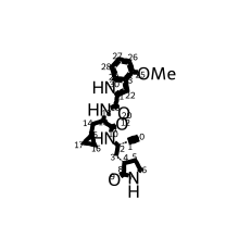 C#C[C@H](C[C@@H]1CCNC1=O)NC(=O)C(CC1CC1)NC(=O)c1cc2c(OC)cccc2[nH]1